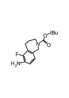 CC(C)(C)OC(=O)N1CCCc2c(ccc(N)c2F)C1